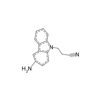 N#CCCn1c2ccccc2c2cc(N)ccc21